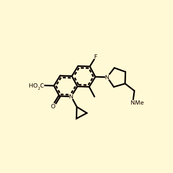 CNCC1CCN(c2c(F)cc3cc(C(=O)O)c(=O)n(C4CC4)c3c2C)C1